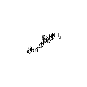 COc1cc(N2CCN(CCCCNC(=O)OC(C)(C)C)CC2)nc(OC)c1Sc1nccc(N)n1